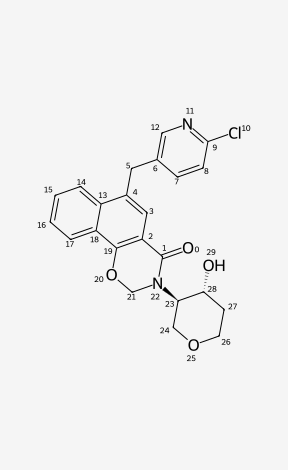 O=C1c2cc(Cc3ccc(Cl)nc3)c3ccccc3c2OCN1[C@@H]1COCC[C@H]1O